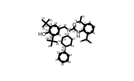 CC(C)c1cccc(C(C)C)c1NC(=O)N(Cc1cc(C(C)(C)C)c(O)c(C(C)(C)C)c1)[C@H]1CC[C@H](c2ccccc2)CC1